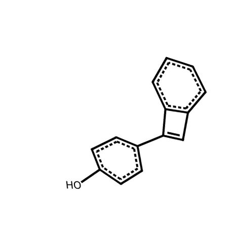 Oc1ccc(C2=Cc3ccccc32)cc1